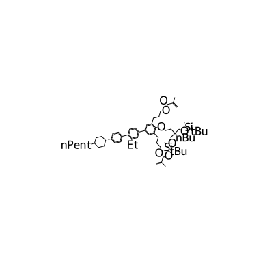 C=C(C)C(=O)OCCCc1cc(-c2ccc(-c3ccc([C@H]4CC[C@H](CCCCC)CC4)cc3)c(CC)c2)cc(CCCOC(=O)C(=C)C)c1OCCC(CCCC)(CO[Si](C)(C)C(C)(C)C)CO[Si](C)(C)C(C)(C)C